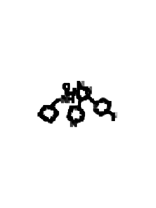 O=C(NCc1ccccc1)n1nnc(-c2ccc(F)cc2)c1-c1ccncc1